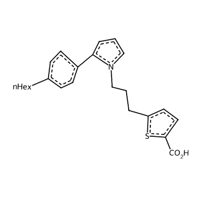 CCCCCCc1ccc(-c2cccn2CCCc2ccc(C(=O)O)s2)cc1